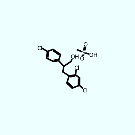 CS(=O)(=O)O.OCC(Cc1ccc(Cl)cc1Cl)c1ccc(Cl)cc1